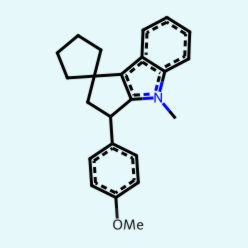 COc1ccc(C2CC3(CCCC3)c3c2n(C)c2ccccc32)cc1